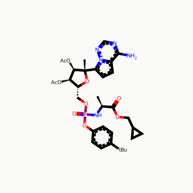 CC(=O)O[C@H]1[C@@H](OC(C)=O)[C@](C)(c2ccc3c(N)ncnn23)O[C@@H]1COP(=O)(N[C@@H](C)C(=O)OCC1CC1)Oc1ccc(C(C)(C)C)cc1